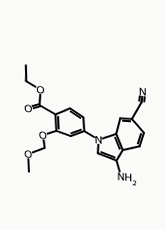 CCOC(=O)c1ccc(-n2cc(N)c3ccc(C#N)cc32)cc1OCOC